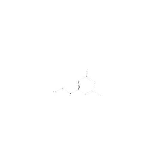 N[CH]Cc1cc(F)cc(F)c1